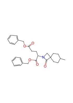 CC1CCC2(CC1)CN(C(CCC(=O)OCc1ccccc1)C(=O)OCc1ccccc1)C2=O